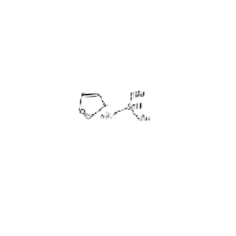 CCC[CH2][SnH]([CH2]CCC)[CH2]CCC.[CH]1C=CC=C1